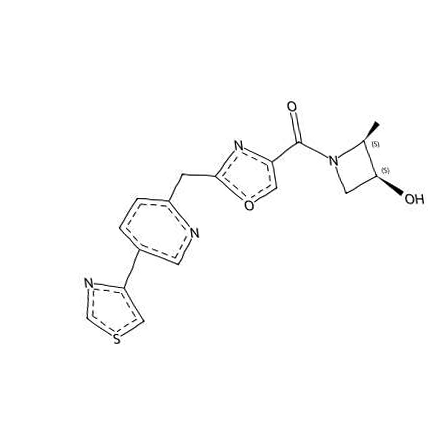 C[C@H]1[C@@H](O)CN1C(=O)c1coc(Cc2ccc(-c3cscn3)cn2)n1